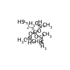 C[SiH](C)O[Si](CCCS)(O[SiH](C)C)O[SiH](C)C